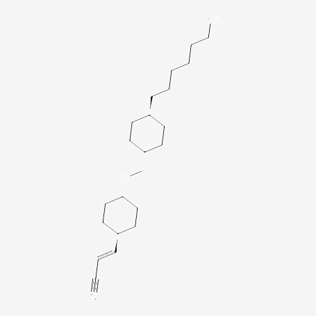 CCCCCCC[C@H]1CC[C@H](CO[C@H]2CC[C@H](/C=C/C#N)CC2)CC1